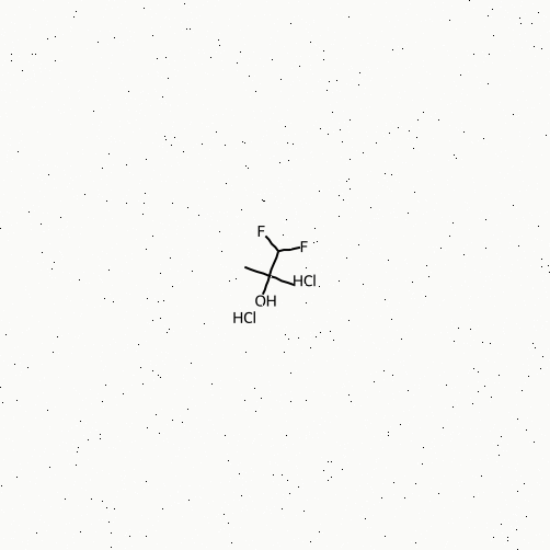 CC(C)(O)C(F)F.Cl.Cl